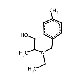 CCN(Cc1ccc(C)cc1)C(C)CO